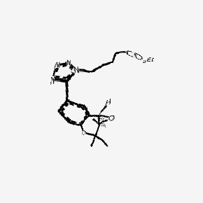 CCOC(=O)CCCCn1nnnc1-c1ccc2c(c1)[C@@H]1O[C@]1(C)C(C)(C)O2